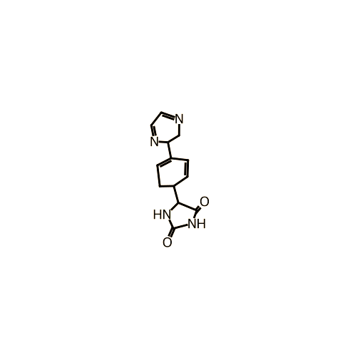 O=C1NC(=O)C(C2C=CC(C3CN=CC=N3)=CC2)N1